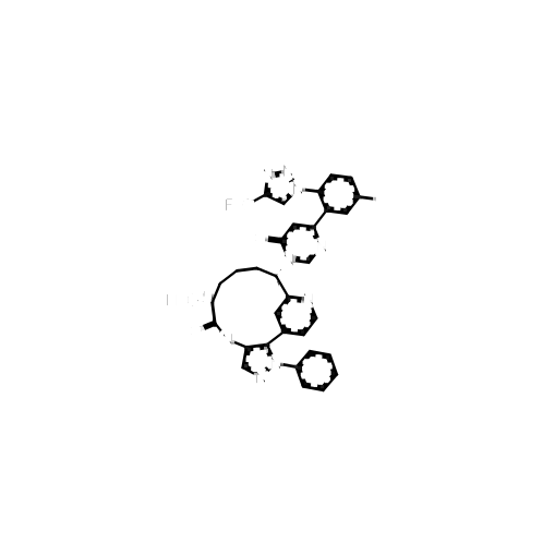 C[C@@H]1CCC[C@H](n2cnc(-c3cc(Cl)ccc3-n3cc(C(F)(F)F)nn3)cc2=O)c2cc(ccn2)-c2c(cnn2-c2ccccc2)NC1=O